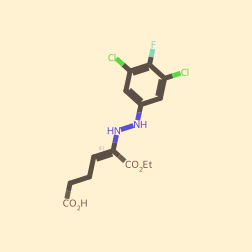 CCOC(=O)/C(=C\CCC(=O)O)NNc1cc(Cl)c(F)c(Cl)c1